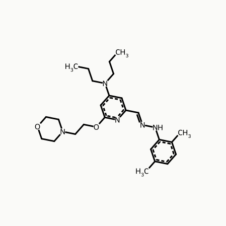 CCCN(CCC)c1cc(/C=N/Nc2cc(C)ccc2C)nc(OCCN2CCOCC2)c1